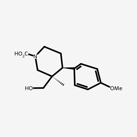 COc1ccc([C@@H]2CCN(C(=O)O)C[C@]2(C)CO)cc1